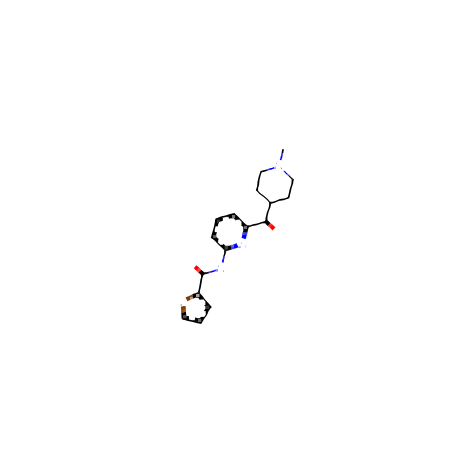 CN1CCC(C(=O)c2cccc(NC(=O)c3cccs3)n2)CC1